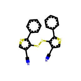 N#Cc1csc(-c2ccccc2)c1SSc1c(C#N)csc1-c1ccccc1